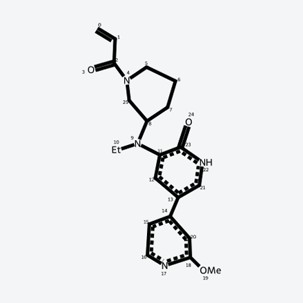 C=CC(=O)N1CCCC(N(CC)c2cc(-c3ccnc(OC)c3)c[nH]c2=O)C1